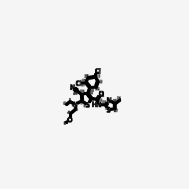 CCN(CCOC)c1sc(C(=O)Nc2nc(C)cs2)c(-c2ccc(Cl)cc2Cl)c1C#N